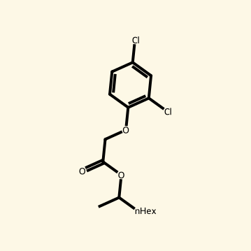 CCCCCCC(C)OC(=O)COc1ccc(Cl)cc1Cl